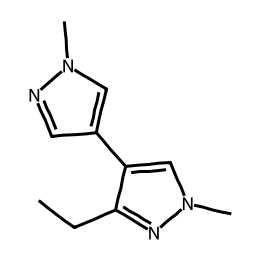 CCc1nn(C)cc1-c1cnn(C)c1